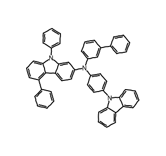 c1ccc(-c2cccc(N(c3ccc(-n4c5ccccc5c5ccccc54)cc3)c3ccc4c5c(-c6ccccc6)cccc5n(-c5ccccc5)c4c3)c2)cc1